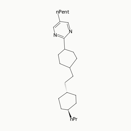 CCCCCc1cnc(C2CCC(CC[C@H]3CC[C@H](CCC)CC3)CC2)nc1